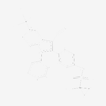 CC1(S(=O)(=O)Nc2ccc(-c3c(C#N)c4cc(C(F)(F)F)cnc4n3-c3ccccc3)cc2)CC1